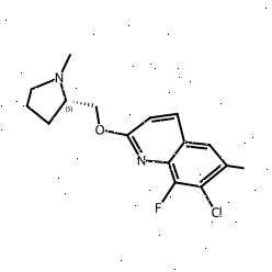 Cc1cc2ccc(OC[C@@H]3CCCN3C)nc2c(F)c1Cl